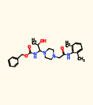 Cc1cccc(C)c1NC(=O)CN1CCN(C(NC(=O)OCc2ccccc2)C(C)O)CC1